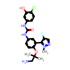 Cn1ncc(F)c1-c1cc(NC(=O)Nc2ccc(Cl)c(O)c2)ccc1OC(C)(C)CN